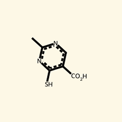 Cc1ncc(C(=O)O)c(S)n1